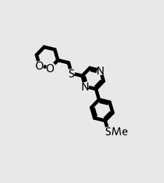 CSc1ccc(-c2cncc(SCC3CCCOO3)n2)cc1